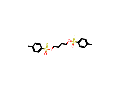 Cc1ccc(S(=O)(=S)OCCCCOS(=O)(=S)c2ccc(C)cc2)cc1